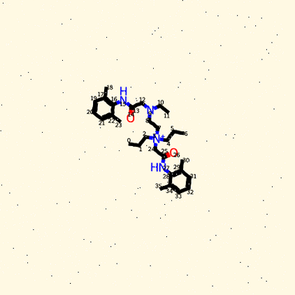 CCC[N+](CCC)(CCN(CC)CC(=O)Nc1c(C)cccc1C)CC(=O)Nc1c(C)cccc1C